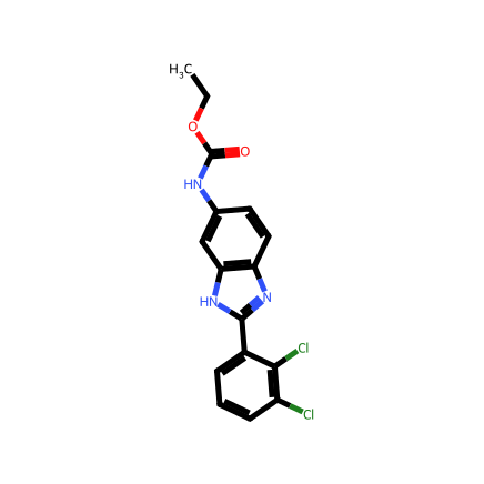 CCOC(=O)Nc1ccc2nc(-c3cccc(Cl)c3Cl)[nH]c2c1